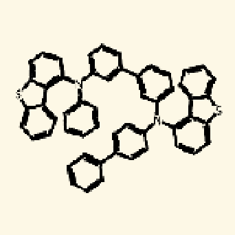 c1ccc(-c2ccc(N(c3cccc(-c4cccc(N(c5ccccc5)c5cccc6sc7ccccc7c56)c4)c3)c3cccc4sc5ccccc5c34)cc2)cc1